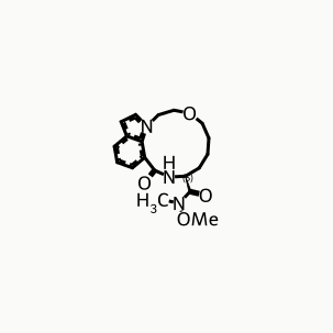 CON(C)C(=O)[C@@H]1CCCCOCCn2ccc3cccc(c32)C(=O)N1